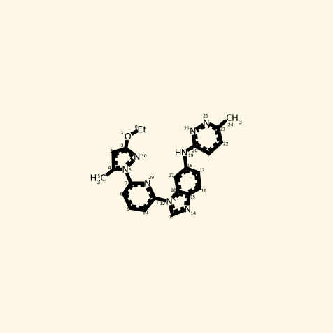 CCOc1cc(C)n(-c2[c]ccc(-n3cnc4ccc(Nc5ccc(C)nn5)cc43)n2)n1